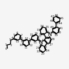 CCCCc1cccc(-c2cccc(-c3cccc(-n4c5ccccc5c5ccc6c(c7ccccc7n6-c6cccc(-c7ccccc7)c6)c54)c3)c2)c1